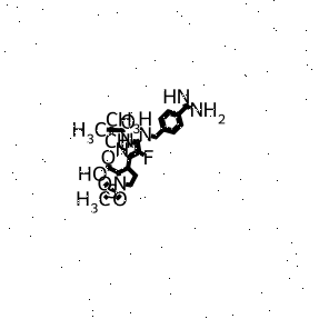 CC(C)(C)C(=O)n1nc(C2CCN(S(C)(=O)=O)C2C(=O)O)c(F)c1NCc1ccc(C(=N)N)cc1